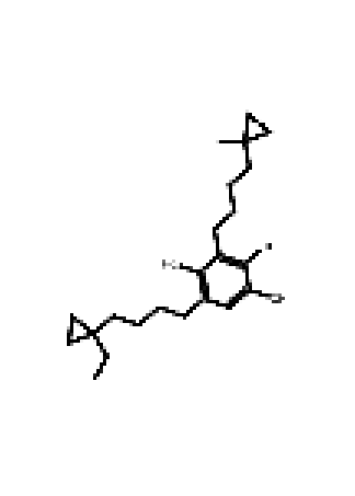 CCC1(CCCCc2cc(O)c(O)c(CCCCC3(C)CC3)c2O)CC1